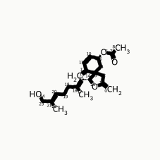 C=C1CC2(C[C@H](OC(C)=O)C=CC2=C)[C@@H](/C=C(\C)CC/C=C(\C)CO)O1